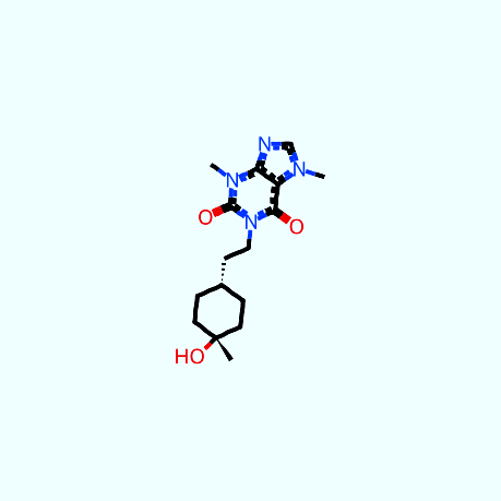 Cn1cnc2c1c(=O)n(CC[C@H]1CC[C@@](C)(O)CC1)c(=O)n2C